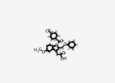 COc1ccc2c(c1)c(CC(=O)O)c(COc1ccccc1)n2C(=O)c1ccc(Cl)cc1